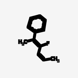 C/C=C\C(F)=C(/C)c1ccccc1